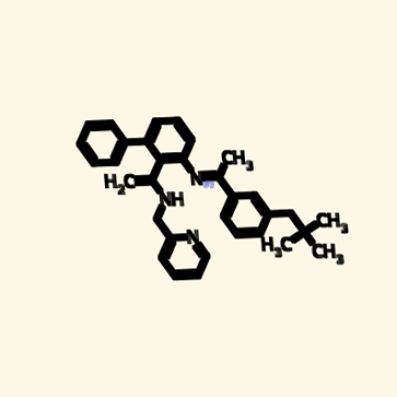 C=C(NCc1ccccn1)c1c(/N=C(\C)c2cccc(CC(C)(C)C)c2)cccc1-c1ccccc1